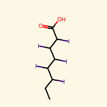 CCC(I)C(I)C(I)C(I)C(I)C(=O)O